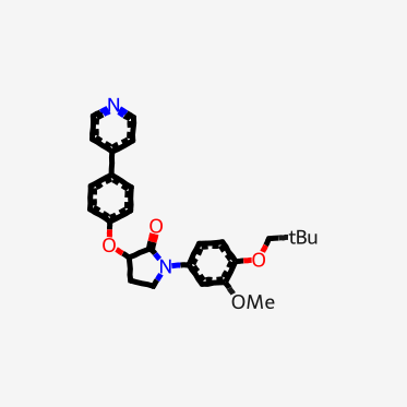 COc1cc(N2CCC(Oc3ccc(-c4ccncc4)cc3)C2=O)ccc1OCC(C)(C)C